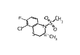 C[C@@H]1CSc2c(ccc(F)c2Cl)N1S(C)(=O)=O